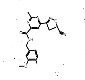 COc1cc(CNC(=O)c2cc(C3=NOC(C#N)C3)nc(C)n2)ccc1F